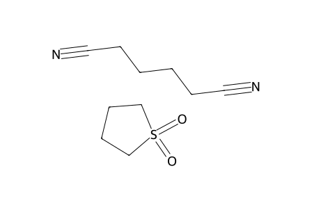 N#CCCCCC#N.O=S1(=O)CCCC1